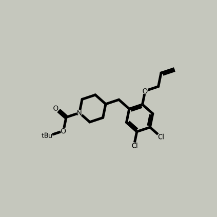 C=CCOc1cc(Cl)c(Cl)cc1CC1CCN(C(=O)OC(C)(C)C)CC1